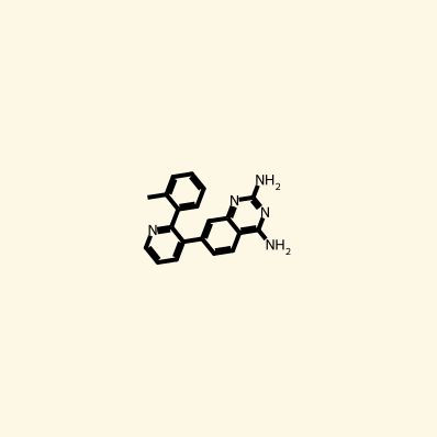 Cc1ccccc1-c1ncccc1-c1ccc2c(N)nc(N)nc2c1